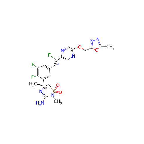 Cc1nnc(COc2cnc(/C(F)=C/c3cc(F)c(F)c([C@]4(C)CS(=O)(=O)N(C)C(N)=N4)c3)cn2)o1